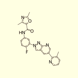 Cc1nc(C)c(C(=O)Nc2ccc(F)c(-n3cc4cc(-c5ncccc5C)cnc4n3)c2)o1